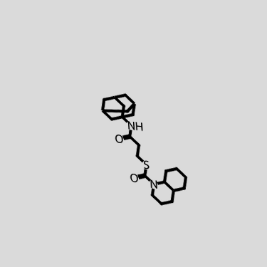 O=C(CCSC(=O)N1CCCC2CCCCC21)NC12CC3CC(CC(C3)C1)C2